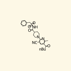 CCCCC(=O)c1cc(C#N)c(N2CCC(C(=O)NS(=O)(=O)Cc3ccccc3)CC2)nc1C